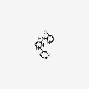 Clc1cccnc1Nc1ccnc(-c2cccnc2)n1